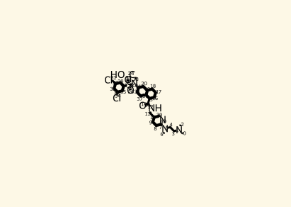 CN(C)CCN(C)c1ccc(CNC(=O)c2cccc3cc(N(CC(=O)O)S(=O)(=O)c4cc(Cl)cc(Cl)c4)ccc23)cn1